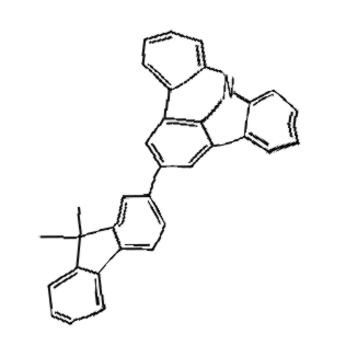 CC1(C)c2ccccc2-c2ccc(-c3cc4c5ccccc5n5c6ccccc6c(c3)c45)cc21